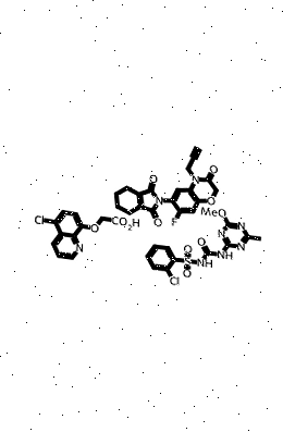 C#CCN1C(=O)COc2cc(F)c(N3C(=O)C4=C(CCCC4)C3=O)cc21.COc1nc(C)nc(NC(=O)NS(=O)(=O)c2ccccc2Cl)n1.O=C(O)COc1ccc(Cl)c2cccnc12